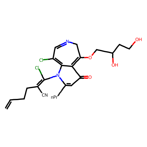 C=CCC/C(C#N)=C(\Cl)n1c(CCC)cc(=O)c2c1=C(Cl)C=NCC=2OCC(O)CCO